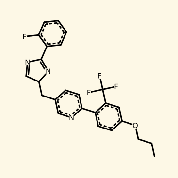 CCCOc1ccc(-c2ccc(CC3C=NC(c4ccccc4F)=N3)cn2)c(C(F)(F)F)c1